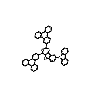 c1ccc2c(c1)c1ccccc1c1cc(-c3nc(-c4ccc5c6ccccc6c6ccccc6c5c4)c4oc5ccc(-n6c7ccccc7c7ccccc76)cc5c4n3)ccc21